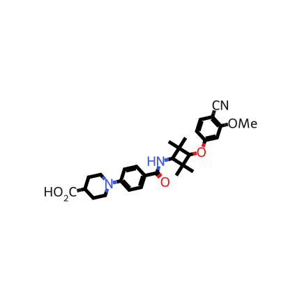 COc1cc(OC2C(C)(C)C(NC(=O)c3ccc(N4CCC(C(=O)O)CC4)cc3)C2(C)C)ccc1C#N